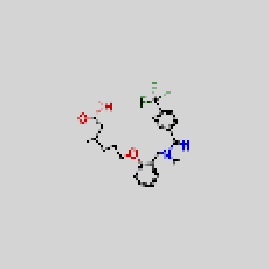 CC(CCCOc1ccccc1CN1C(c2ccc(C(F)(F)F)cc2)=NCC1C)CC(=O)O